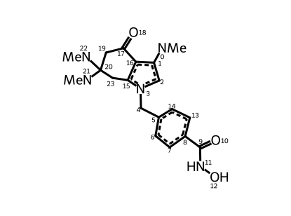 CNc1cn(Cc2ccc(C(=O)NO)cc2)c2c1C(=O)CC(NC)(NC)C2